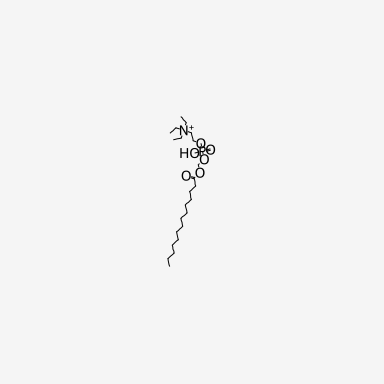 CCCCCCCCCCCCCC(=O)OCOP(=O)(O)OCC[N+](CC)(CC)CC